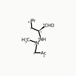 CC(=O)CN(C)N[C@H](C=O)CC(C)C